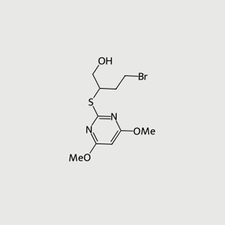 COc1cc(OC)nc(SC(CO)CCBr)n1